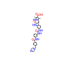 Cc1[nH]c(/C=C2\C(=O)Nc3cc(NC(=O)Nc4cccc(NC(=O)c5ccc(CN6CCN(C)CC6)cc5)c4)ccc32)c(C)c1C(=O)O